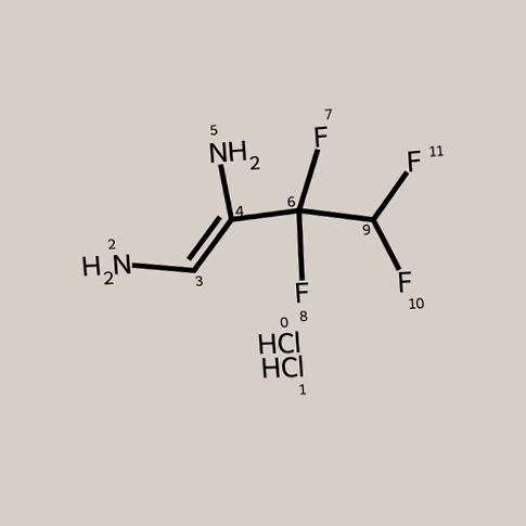 Cl.Cl.NC=C(N)C(F)(F)C(F)F